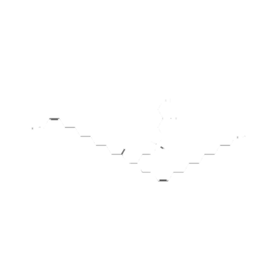 CCCCCC/C=C\CCCCCCCC(=O)O[C@H](CO/C=C\CCCCCCCCCCCCCCCCCC)COP(=O)(O)OC[C@@H](O)CO